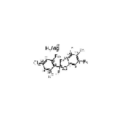 Fc1cc(OC(F)(F)c2c(F)cc(Cl)cc2F)cc(F)c1F.[MgH2]